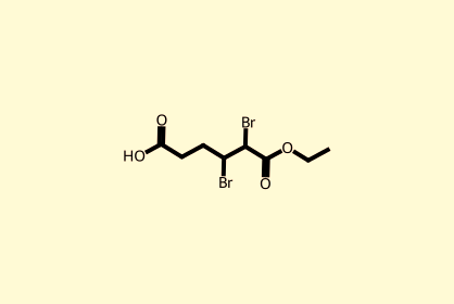 CCOC(=O)C(Br)C(Br)CCC(=O)O